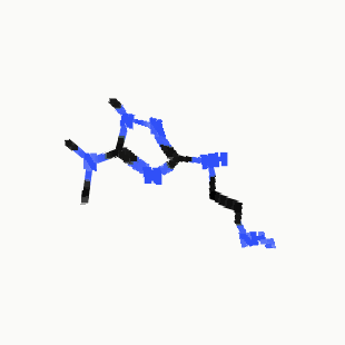 CN(C)c1nc(NCCN)nn1C